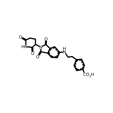 O=C1CCC(N2C(=O)c3ccc(NCCc4ccc(C(=O)O)cc4)cc3C2=O)C(=O)N1